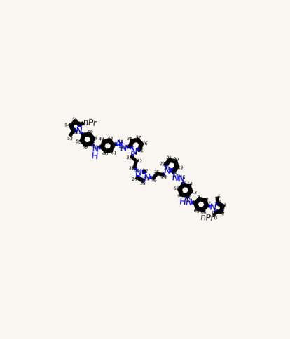 CCCc1ccc(C)n1-c1ccc(Nc2ccc(/N=N/c3cccc[n+]3CCCn3cc[n+](CCC[n+]4ccccc4/N=N/c4ccc(Nc5ccc(-n6c(C)ccc6CCC)cc5)cc4)c3)cc2)cc1